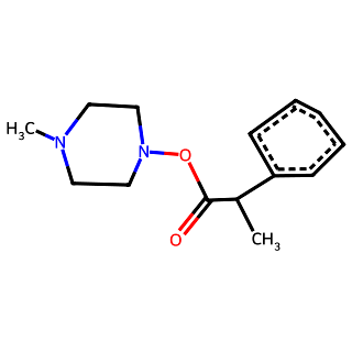 CC(C(=O)ON1CCN(C)CC1)c1ccccc1